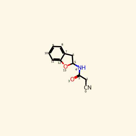 N#CCC(=O)NC1Cc2ccccc2O1